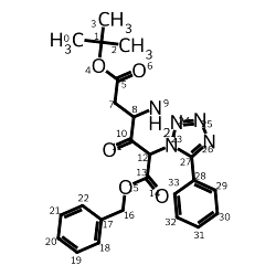 CC(C)(C)OC(=O)CC(N)C(=O)C(C(=O)OCc1ccccc1)n1nnnc1-c1ccccc1